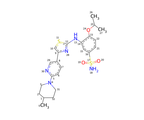 CC1CCN(c2ccc(-c3csc(Nc4cc(S(N)(=O)=O)ccc4OC(C)C)n3)cn2)CC1